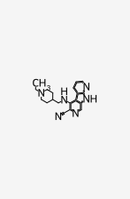 CCN1CCC(CNc2c(C#N)ncc3[nH]c4ncccc4c23)CC1